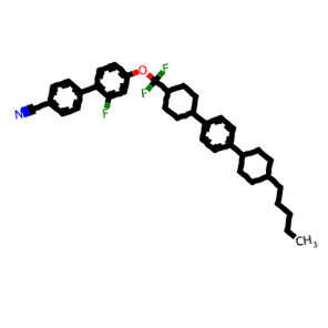 CCCCCC1CCC(c2ccc(C3CCC(C(F)(F)Oc4ccc(-c5ccc(C#N)cc5)c(F)c4)CC3)cc2)CC1